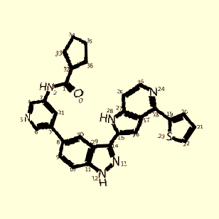 O=C(Nc1cncc(-c2ccc3[nH]nc(-c4cc5c(-c6cccs6)nccc5[nH]4)c3c2)c1)C1CCCC1